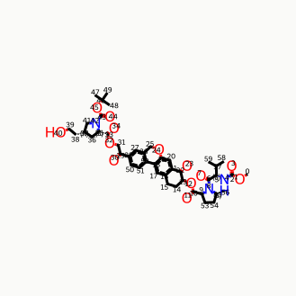 COC(=O)N[C@H](C(=O)N1C(C(=O)OC2CCc3cc4c(cc3C2=O)OCc2cc(C(=O)COC(=O)[C@@H]3C[C@H](CCO)CN3C(=O)OC(C)(C)C)ccc2-4)CC[C@@H]1C)C(C)C